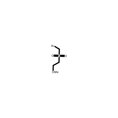 COCCS(=O)(=O)CC(C)=O